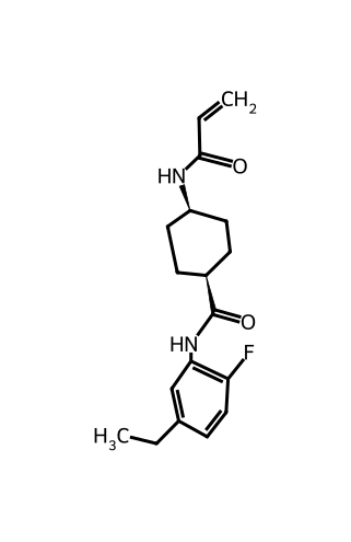 C=CC(=O)N[C@H]1CC[C@@H](C(=O)Nc2cc(CC)ccc2F)CC1